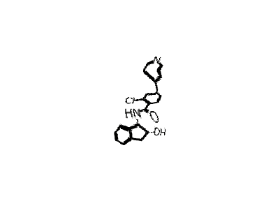 O=C(N[C@H]1c2ccccc2C[C@H]1O)c1ccc(-c2ccncc2)cc1Cl